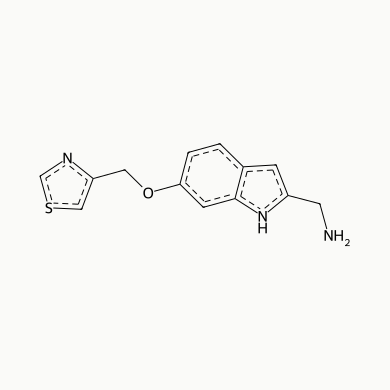 NCc1cc2ccc(OCc3cscn3)cc2[nH]1